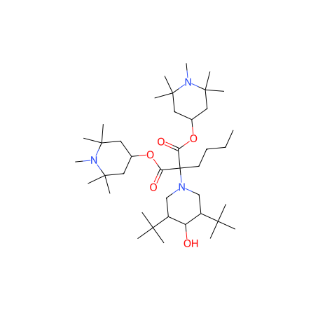 CCCCC(C(=O)OC1CC(C)(C)N(C)C(C)(C)C1)(C(=O)OC1CC(C)(C)N(C)C(C)(C)C1)N1CC(C(C)(C)C)C(O)C(C(C)(C)C)C1